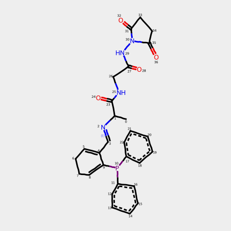 CC(/N=C/C1=CCCC=C1P(c1ccccc1)c1ccccc1)C(=O)NCC(=O)NN1C(=O)CCC1=O